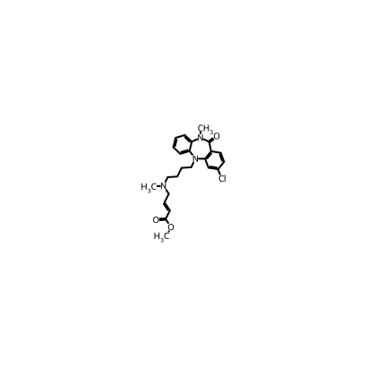 COC(=O)/C=C/CN(C)CCCCN1c2cc(Cl)ccc2C(=O)N(C)c2ccccc21